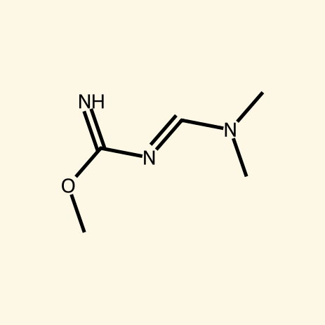 COC(=N)N=CN(C)C